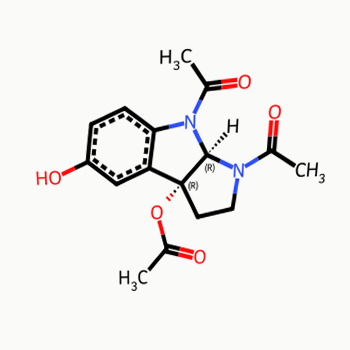 CC(=O)O[C@@]12CCN(C(C)=O)[C@@H]1N(C(C)=O)c1ccc(O)cc12